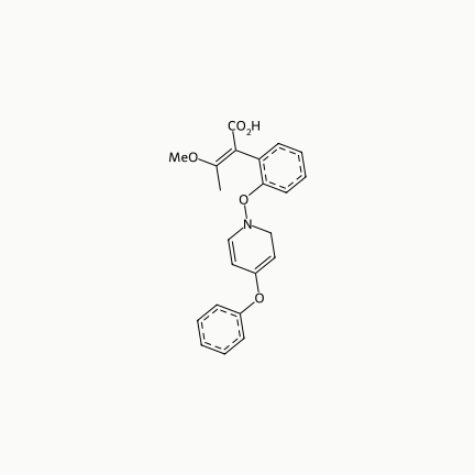 COC(C)=C(C(=O)O)c1ccccc1ON1C=CC(Oc2ccccc2)=CC1